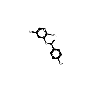 CC(Oc1cc(Br)cnc1N)c1ccc(C#N)cc1